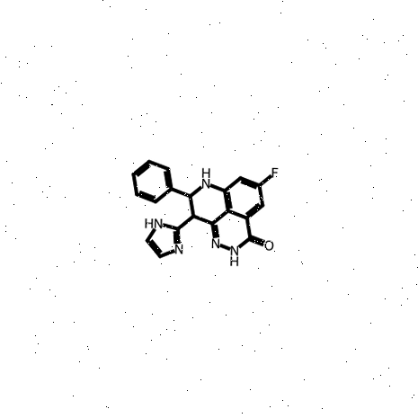 O=c1[nH]nc2c3c(cc(F)cc13)NC(c1ccccc1)C2c1ncc[nH]1